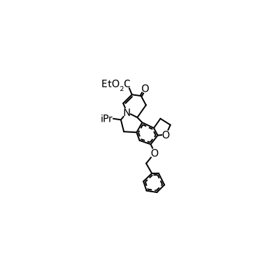 CCOC(=O)C1=CN2C(CC1=O)c1c(cc(OCc3ccccc3)c3c1CCO3)CC2C(C)C